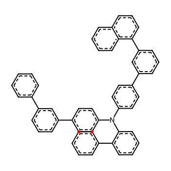 c1ccc(-c2cccc(-c3ccc(N(c4ccc(-c5cccc(-c6cccc7ccccc67)c5)cc4)c4ccccc4-c4ccccc4)cc3)c2)cc1